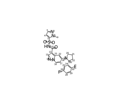 Cn1nccc1S(=O)(=O)NC(=O)c1cnn2ccc(N3CCC[C@@H]3c3cc(F)ccc3F)cc12